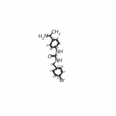 CC(N)c1ccc(NC(=O)NCc2ccc(Br)cc2)cc1